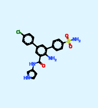 Nc1c(C(=O)Nc2cc[nH]c2)cc(-c2ccc(Cl)cc2)cc1-c1ccc(S(N)(=O)=O)cc1